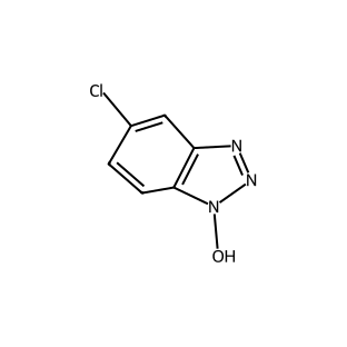 On1nnc2cc(Cl)ccc21